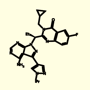 CC[C@@H](c1nc2ccc(F)cc2c(=O)n1CC1CC1)n1nc(-c2cnn(C(C)C)c2)c2c(N)ncnc21